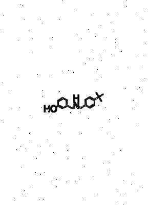 CC(C)(C)c1ccc(CNCc2cccc(O)c2)cc1